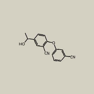 CC(O)c1ccc(Oc2cccc(C#N)c2)c(C#N)c1